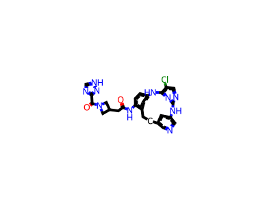 O=C(CC1CN(C(=O)c2nc[nH]n2)C1)Nc1ccc2cc1CCc1cncc(c1)Nc1ncc(Cl)c(n1)N2